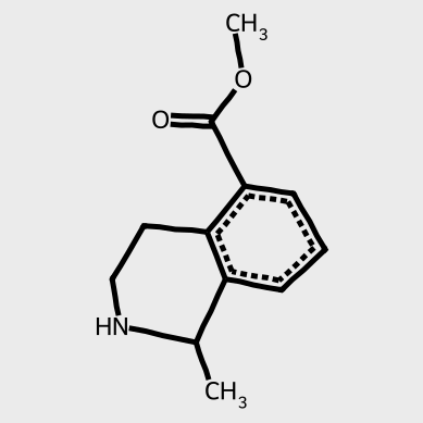 COC(=O)c1cccc2c1CCNC2C